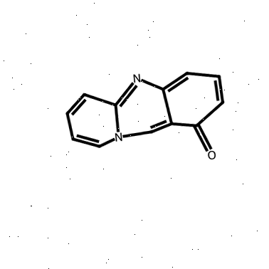 O=c1cccc2nc3ccccn3cc1-2